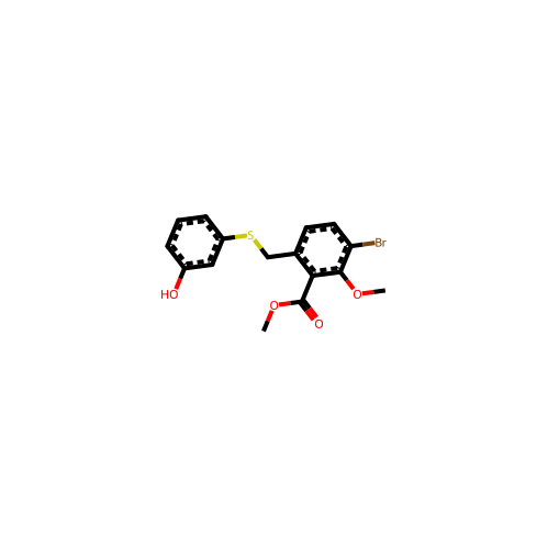 COC(=O)c1c(CSc2cccc(O)c2)ccc(Br)c1OC